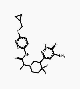 CC(C(=O)Nc1ccc(OCC2CC2)nn1)N1CCC(F)(F)C(c2cc(N)c(=O)[nH]n2)C1